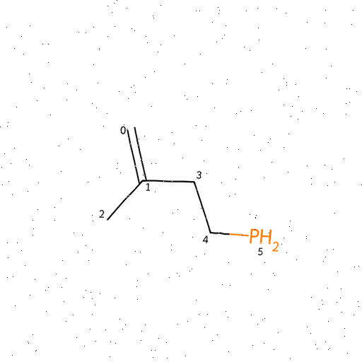 C=C(C)CCP